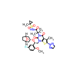 COc1ccc(F)cc1[C@H](Cn1c(=O)n(C(C)(C)C(=O)NS(=O)(=O)C2(C)CC2)c(=O)c2c(C)c(-n3nccn3)sc21)O[C@H]1C[C@H]2CC[C@@H](C1)O2